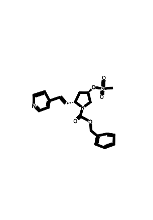 CS(=O)(=O)O[C@@H]1C[C@@H](/C=C/c2ccncc2)N(C(=O)OCc2ccccc2)C1